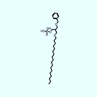 CCCCCCCCCCCCCCCCCCOCC(COCc1ccccc1)COP(=O)(O)O